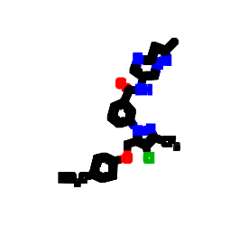 Cc1cc2ncc(NC(=O)c3cccc(-n4nc(C(F)(F)F)c(Cl)c4COc4ccc(C(=O)O)cc4)c3)cn2n1